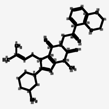 CC(C)=CCn1c(N2CCCC(N)C2)nc2c1c(=O)n(CC(=O)c1cccc3c1OCCO3)c(=O)n2C